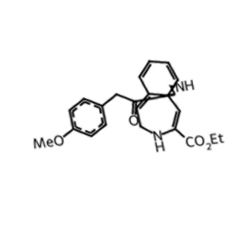 CCOC(=O)C1=CC23C(=CCN1)C=CC=C2NCC3C(=O)Cc1ccc(OC)cc1